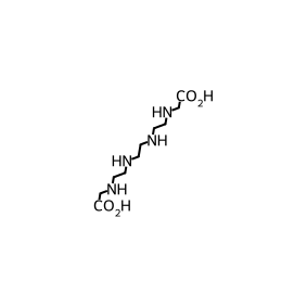 O=C(O)CNCCNCCNCCNCC(=O)O